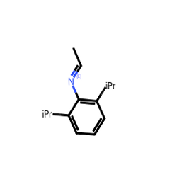 C/C=N/c1c(C(C)C)cccc1C(C)C